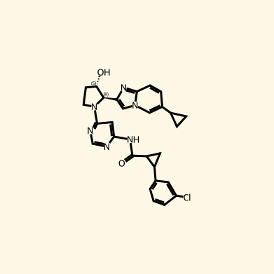 O=C(Nc1cc(N2CC[C@H](O)[C@H]2c2cn3cc(C4CC4)ccc3n2)ncn1)C1CC1c1cccc(Cl)c1